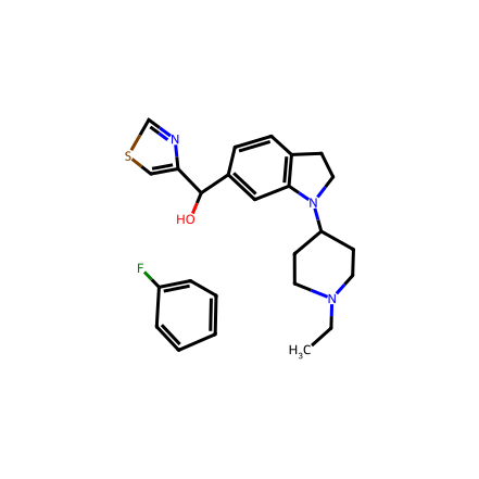 CCN1CCC(N2CCc3ccc(C(O)c4cscn4)cc32)CC1.Fc1ccccc1